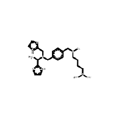 CCCN(CCC)CCCCN(CC)Cc1ccc(CN(Cc2ncc[nH]2)C(C)c2ncc[nH]2)cc1